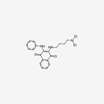 CCN(CC)CCCCNC1=C(Nc2ccccc2)C(=O)c2ccccc2C1=O